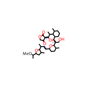 COC(C)C1CC(C)C(C(C)/C=C/C2CCC(C)C(/C(=C/C3CCCC(C)C3C(C)/C(O)=C3/C(=O)COC3=O)CO)O2)O1